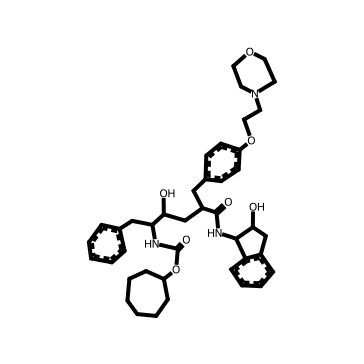 O=C(NC(Cc1ccccc1)C(O)CC(Cc1ccc(OCCN2CCOCC2)cc1)C(=O)NC1c2ccccc2CC1O)OC1CCCCCC1